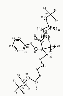 C[C@@H](CCOCCC(OCc1ccccc1)(C(=O)NNC(=O)OC(C)(C)C)C(F)(F)F)O[Si](C)(C)C(C)(C)C